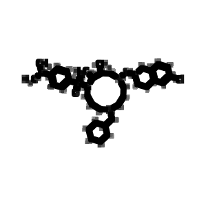 CC1CN(SN2CCc3cc(Cl)ccc3C2)CCCN(CC2CCCCC2)CCCN(S(=O)(=O)c2ccc(N(C)C)cc2)C1C